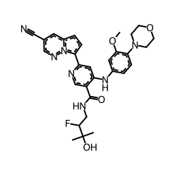 COc1cc(Nc2cc(-c3ccc4cc(C#N)cnn34)ncc2C(=O)NCC(F)C(C)(C)O)ccc1N1CCOCC1